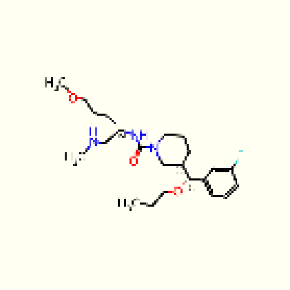 C[CH]CO[C@@H](c1cccc(F)c1)[C@@H]1CCCN(C(=O)N[C@@H](CCCOC)CNC)C1